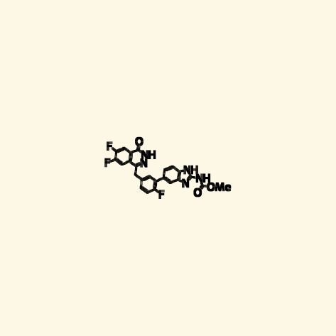 COC(=O)Nc1nc2cc(-c3cc(Cc4n[nH]c(=O)c5cc(F)c(F)cc45)ccc3F)ccc2[nH]1